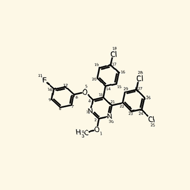 COc1nc(Oc2cccc(F)c2)c(-c2ccc(Cl)cc2)c(-c2cc(Cl)cc(Cl)c2)n1